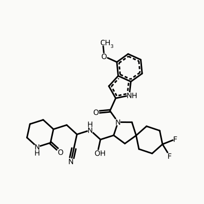 COc1cccc2[nH]c(C(=O)N3CC4(CCC(F)(F)CC4)CC3C(O)NC(C#N)CC3CCCNC3=O)cc12